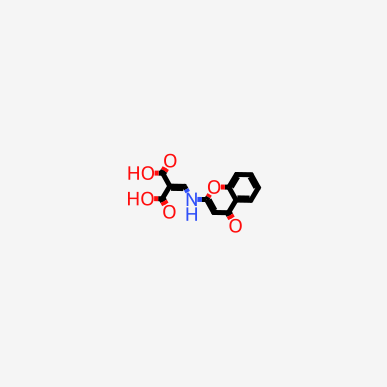 O=C(O)C(=CNc1cc(=O)c2ccccc2o1)C(=O)O